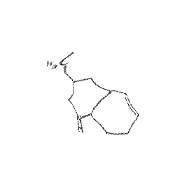 CC1CNC2CCC=CC2C1